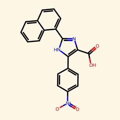 O=C(O)c1nc(-c2cccc3ccccc23)[nH]c1-c1ccc([N+](=O)[O-])cc1